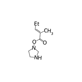 CCC=C(C)C(=O)ON1CCNC1